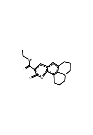 CCNC(=O)c1cc2cc3c4c(c2oc1=O)CCCN4CCC3